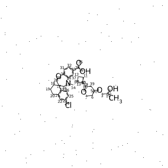 C[C@H](O)CO[C@@H]1CCO[C@@H]([C@@H]2CC[C@H]2CN2CC3(CCCc4cc(Cl)ccc43)COc3ccc(C(=O)O)cc32)C1